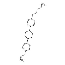 C=CCOCc1ccc(C2CCC(c3ccc(CC=C)cc3)CC2)cc1